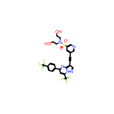 O=S(=O)(c1cncc(C#Cc2cnn3c(C(F)(F)F)cc(-c4ccc(C(F)(F)F)cc4)nc23)c1)N(CCO)CCO